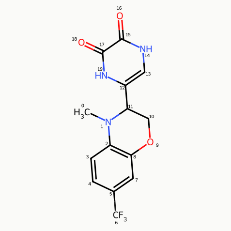 CN1c2ccc(C(F)(F)F)cc2OCC1c1c[nH]c(=O)c(=O)[nH]1